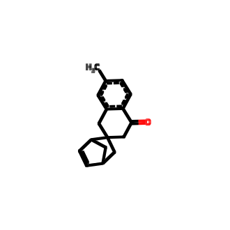 Cc1ccc2c(c1)CC1(CC2=O)CC2C=CC1C2